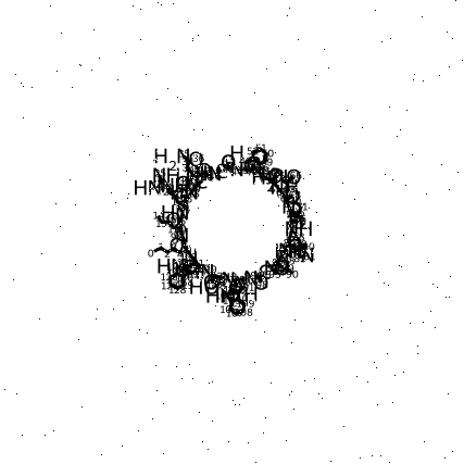 CCCCC[C@H]1C(=O)N(C)[C@@H](CCCC)C(=O)N[C@@H](CCCNC(=N)N)C(=O)N[C@H](C(=O)NCC(N)=O)CC(=O)NCC(=O)N[C@@H](Cc2ccccc2)C(=O)N(C)[C@@H](C)C(=O)N[C@@H](CC(N)=O)C(=O)N2CCC[C@H]2C(=O)N[C@@H](Cc2cnc[nH]2)C(=O)N[C@@H](CC(C)C)C(=O)N(C)CC(=O)N[C@@H](Cc2c[nH]c3ccccc23)C(=O)N[C@@H](CO)C(=O)N[C@@H](Cc2c[nH]c3ccccc23)C(=O)N1C